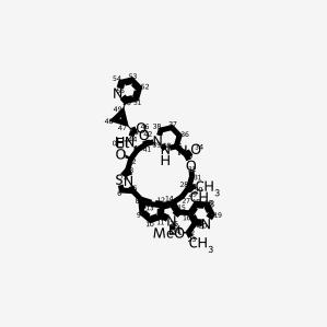 CCO[C@@H]1C2=NC(CS2)c2ccc3c(c2)c(c(-c2cccnc2[C@H](C)OC)n3CC)CC(C)(C)COC(=O)[C@@H]2CCCN(N2)C(=O)[C@H]1NC(=O)[C@@H]1C[C@@H]1c1ccccn1